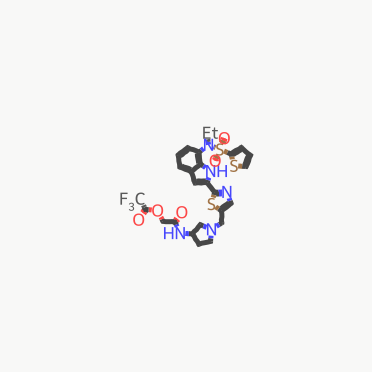 CCN(c1cccc2cc(-c3ncc(CN4CCC(NC(=O)COC(=O)C(F)(F)F)C4)s3)[nH]c12)S(=O)(=O)c1cccs1